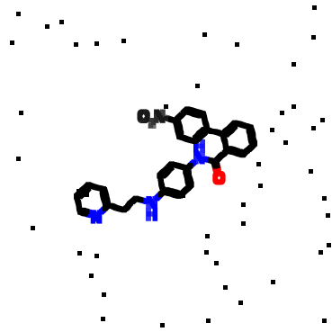 O=C(Nc1ccc(NCCc2ccccn2)cc1)c1ccccc1-c1ccc([N+](=O)[O-])cc1